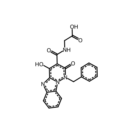 O=C(O)CNC(=O)c1c(O)c2nc3ccccc3n2n(Cc2ccccc2)c1=O